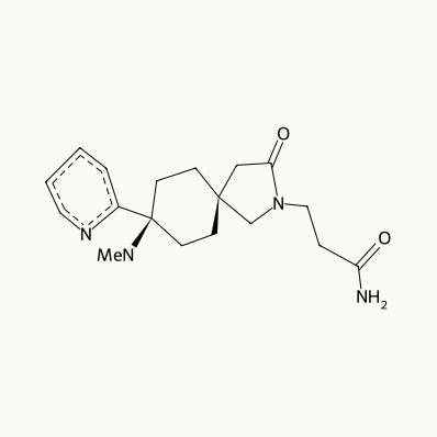 CN[C@]1(c2ccccn2)CC[C@@]2(CC1)CC(=O)N(CCC(N)=O)C2